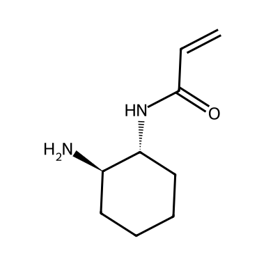 C=CC(=O)N[C@@H]1CCCC[C@H]1N